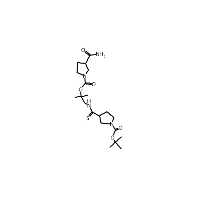 CC(C)(C)OC(=O)N1CCC(C(=S)NCC(C)(C)OC(=O)N2CCC(C(N)=O)C2)C1